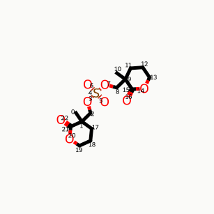 CC1(COS(=O)(=O)OCC2(C)CCCOC2=O)CCCOC1=O